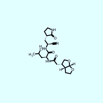 CC(C)C[C@H](NC(=O)C[C@@H]1CO[C@@H]2OCC[C@H]12)C(=O)N[C@H](C#N)C[C@@H]1CCNC1=O